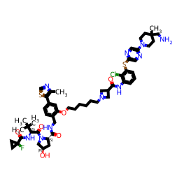 Cc1ncsc1-c1ccc(CNC(=O)[C@@H]2C[C@@H](O)CN2C(=O)[C@@H](NC(=O)C2(F)CC2)C(C)(C)C)c(OCCCCCCN2CC(C(=O)Nc3cccc(Sc4cnc(N5CCC(C)(CN)CC5)cn4)c3Cl)C2)c1